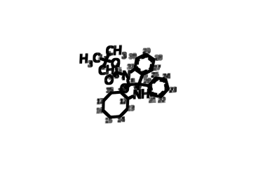 CC(C)(C)OC(=O)N1C(=O)[C@@](NC2CCCCCCC2)(c2ccccc2)c2ccccc21